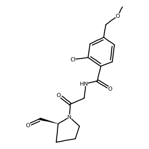 COCc1ccc(C(=O)NCC(=O)N2CCC[C@H]2C=O)c(Cl)c1